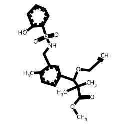 C#CCOC(c1ccc(C)c(CNS(=O)(=O)c2ccccc2O)c1)C(C)(C)C(=O)OC